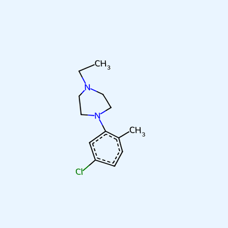 CCN1CCN(c2cc(Cl)ccc2C)CC1